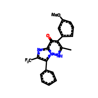 COc1cccc(-c2c(C)[nH]n3c(-c4ccccc4)c(C(F)(F)F)nc3c2=O)c1